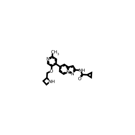 Cc1cc(-c2ccn3nc(NC(=O)C4CC4)cc3c2)c(OCC2CCN2)cn1